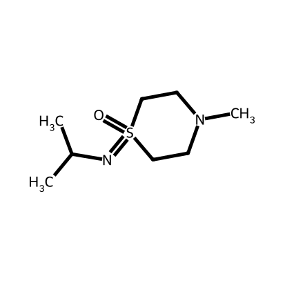 CC(C)N=S1(=O)CCN(C)CC1